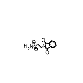 NS(=O)(=O)CCN1C(=O)c2ccccc2C1=O